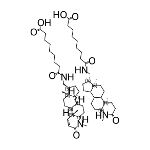 CN1C(=O)C=C[C@]2(C)[C@H]3CC[C@]4(C)[C@@H](CNC(=O)CCCCCCCC(=O)O)CC[C@H]4[C@@H]3CC[C@@H]12.CN1C(=O)CC[C@]2(C)C3CC[C@@]4(C)C(CC[C@@H]4CNC(=O)CCCCCCCC(=O)O)C3CC[C@@H]12